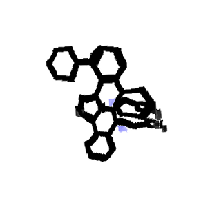 C/C=c1\c(=C/C)n2c(-c3c(C4CCCCC4)cccc3C3CCCCC3)cnc2c2ccccc12